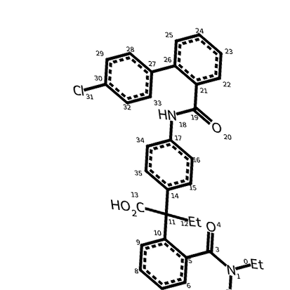 CCN(CC)C(=O)c1ccccc1C(CC)(C(=O)O)c1ccc(NC(=O)c2ccccc2-c2ccc(Cl)cc2)cc1